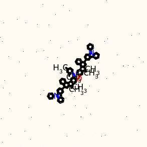 Cc1ccc(N2c3cc4c(cc3Oc3cc5c(cc32)-c2c(cc(-c3ccc6c(c3)c3ccccc3n6-c3ccccc3)c3ccccc23)C5(C)C)C(C)(C)c2cc(-c3ccc5c(c3)c3ccccc3n5-c3ccccc3)c3ccccc3c2-4)c(C)c1